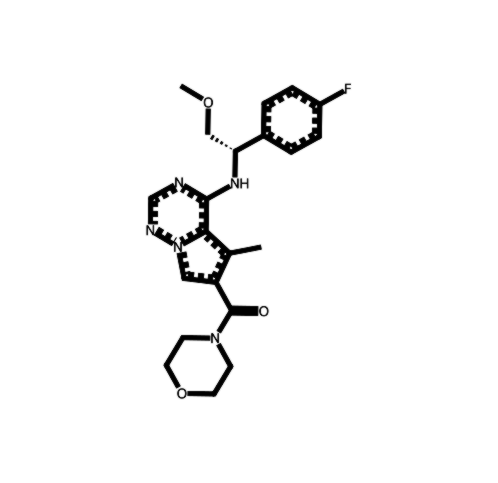 COC[C@@H](Nc1ncnn2cc(C(=O)N3CCOCC3)c(C)c12)c1ccc(F)cc1